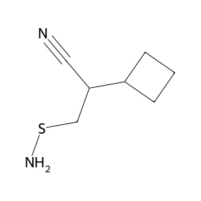 N#CC(CSN)C1CCC1